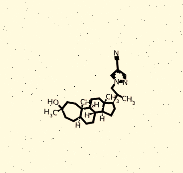 CC(Cn1cc(C#N)cn1)[C@H]1CC[C@H]2[C@@H]3CC[C@H]4CC[C@](C)(O)CC[C@]4(C)[C@H]3CC[C@]12C